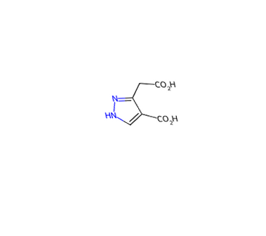 O=C(O)Cc1n[nH]cc1C(=O)O